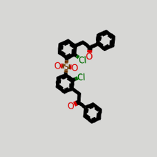 O=C(Cc1cccc(S(=O)(=O)c2cccc(CC(=O)c3ccccc3)c2Cl)c1Cl)c1ccccc1